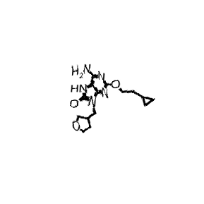 Nc1nc(OCCC2CC2)nc2c1[nH]c(=O)n2CC1CCOC1